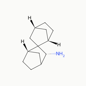 N[C@@H]1C2CC[C@@H](C2)C12C[C@@H]1CC[C@H]2C1